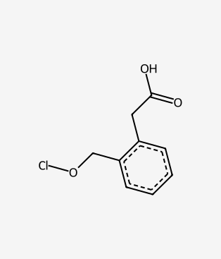 O=C(O)Cc1ccccc1COCl